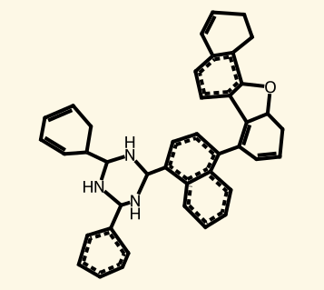 C1=CCC(C2NC(c3ccccc3)NC(c3ccc(C4=C5c6ccc7c(c6OC5CC=C4)CCC=C7)c4ccccc34)N2)C=C1